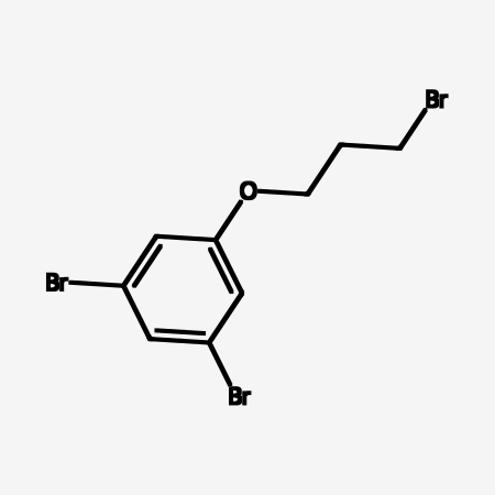 BrCCCOc1cc(Br)cc(Br)c1